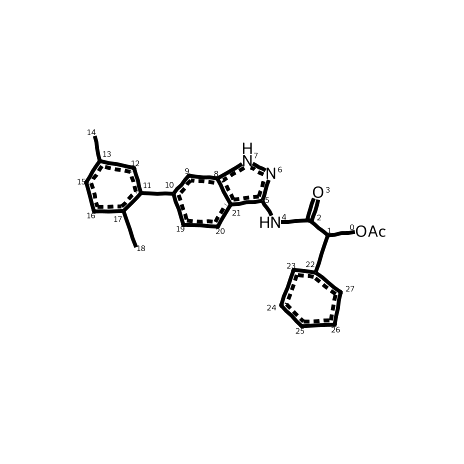 CC(=O)OC(C(=O)Nc1n[nH]c2cc(-c3cc(C)ccc3C)ccc12)c1ccccc1